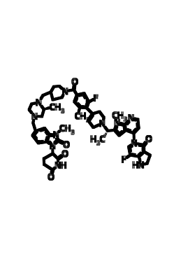 Cc1cc(C(=O)N2CCC(CN3CCN(Cc4ccc5c(c4)n(C)c(=O)n5C4CCC(=O)NC4=O)C[C@@H]3C)CC2)cc(F)c1C1=CCN([C@@H](C)c2cc3c(-n4cc(F)c5c(c4=O)CCN5)ccnc3n2C)CC1